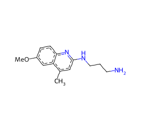 COc1ccc2nc(NCCCN)cc(C)c2c1